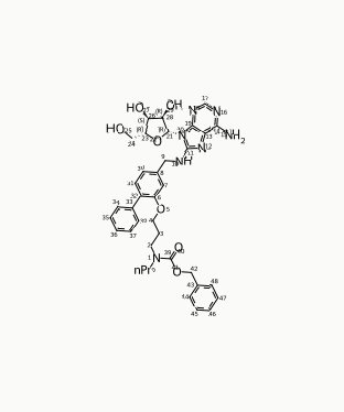 CCCN(CCCOc1cc(CNc2nc3c(N)ncnc3n2[C@@H]2O[C@H](CO)[C@@H](O)[C@H]2O)ccc1-c1ccccc1)C(=O)OCc1ccccc1